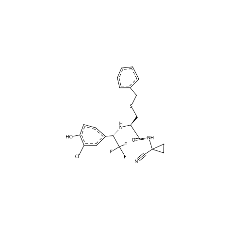 N#CC1(NC(=O)[C@H](CSCc2ccccc2)N[C@@H](c2ccc(O)c(Cl)c2)C(F)(F)F)CC1